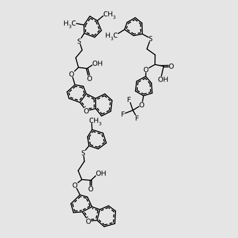 Cc1ccc(SCCC(Oc2ccc3oc4ccccc4c3c2)C(=O)O)c(C)c1.Cc1cccc(SCCC(Oc2ccc(OC(F)(F)F)cc2)C(=O)O)c1.Cc1cccc(SCCC(Oc2ccc3oc4ccccc4c3c2)C(=O)O)c1